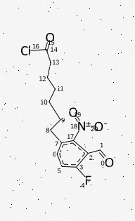 O=Cc1c(F)ccc(CCCCCCC(=O)Cl)c1[N+](=O)[O-]